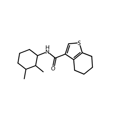 CC1CCCC(NC(=O)c2csc3c2CCCC3)C1C